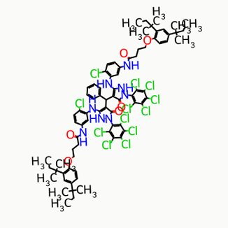 CCC(C)(C)c1ccc(OCCCC(=O)Nc2ccc(Cl)c(Nc3[nH]n(-c4c(Cl)c(Cl)c(Cl)c(Cl)c4Cl)c(=O)c3C(c3ccccc3)c3c(Nc4cc(NC(=O)CCCOc5ccc(C(C)(C)CC)cc5C(C)(C)CC)ccc4Cl)[nH]n(-c4c(Cl)c(Cl)c(Cl)c(Cl)c4Cl)c3=O)c2)c(C(C)(C)CC)c1